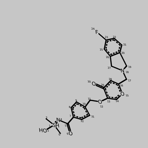 C[SH](C)(O)=NC(=O)c1ccc(COc2coc(CN3Cc4ccc(F)cc4C3)cc2=O)cc1